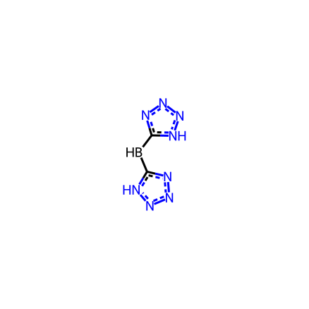 B(c1nnn[nH]1)c1nnn[nH]1